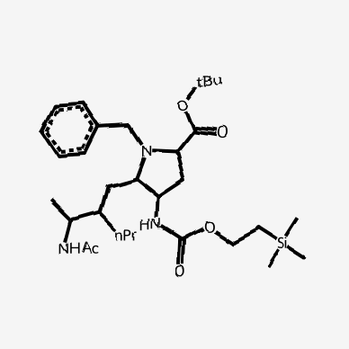 CCCC(CC1C(NC(=O)OCC[Si](C)(C)C)CC(C(=O)OC(C)(C)C)N1Cc1ccccc1)C(C)NC(C)=O